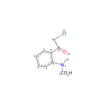 CN(C(=O)O)c1ccccc1C(=O)CCl